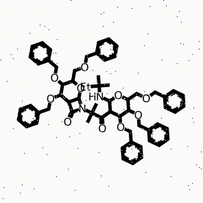 CCC(C)(C)NC1OC(COCc2ccccc2)C(OCc2ccccc2)C(OCc2ccccc2)C1C(=O)C(C)(C)N1C(=O)C2C(OCc3ccccc3)C(OCc3ccccc3)C(COCc3ccccc3)OC21